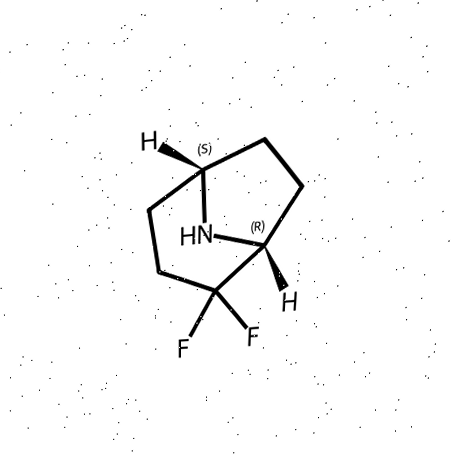 FC1(F)CC[C@@H]2CC[C@H]1N2